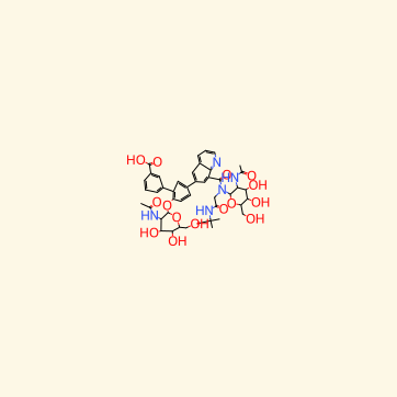 CC(=O)NC1C(Oc2ccc(-c3cc(C(=O)N(CC(=O)NC(C)(C)C)C4OC(CO)C(O)C(O)C4NC(C)=O)c4ncccc4c3)cc2-c2cccc(C(=O)O)c2)OC(CO)C(O)C1O